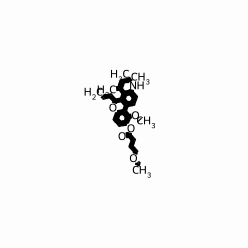 C=CCC1Oc2ccc(OC(=O)CCCOCC)c(OC)c2-c2ccc3c(c21)C(C)=CC(C)(C)N3